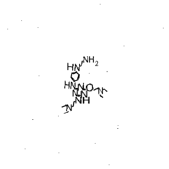 CCN(CC)CCNc1nc(Nc2ccc(NCCN)cc2)nc(OCCN(CC)CC)n1